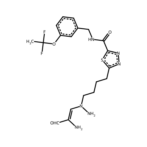 CC(F)(F)Oc1cccc(CNC(=O)c2nnc(CCCCN(N)/C=C(\N)C=O)s2)c1